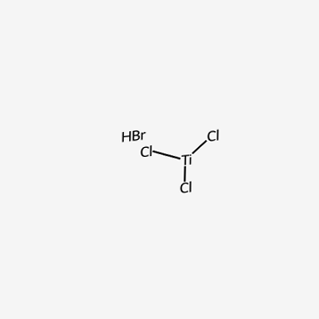 Br.[Cl][Ti]([Cl])[Cl]